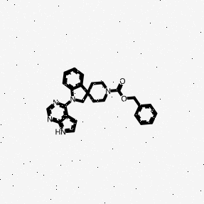 O=C(OCc1ccccc1)N1CCC2(CC1)CN(c1ncnc3[nH]ccc13)c1ccccc12